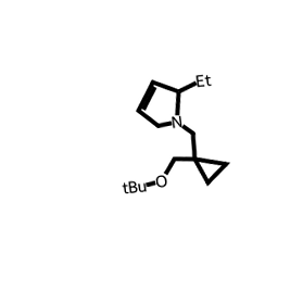 CCC1C=CCN1CC1(COC(C)(C)C)CC1